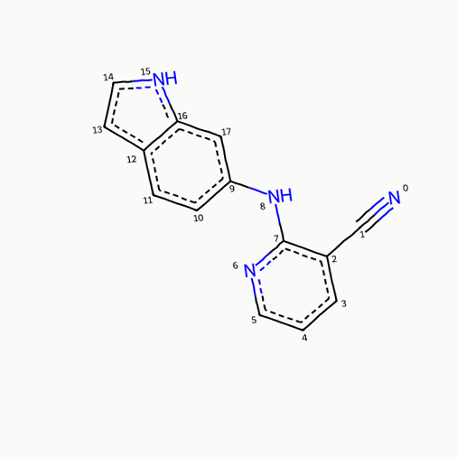 N#Cc1cccnc1Nc1ccc2cc[nH]c2c1